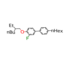 CCCCCCc1ccc(-c2ccc(OCC(CC)CCCC)c(F)c2)cc1